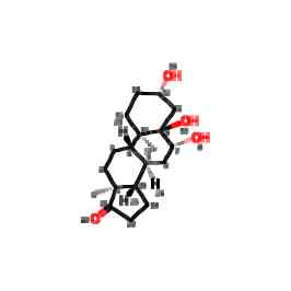 C[C@]12CC[C@H]3[C@@H](C[C@@H](O)[C@@]4(O)C[C@@H](O)CC[C@]34C)[C@@H]1CCC2=O